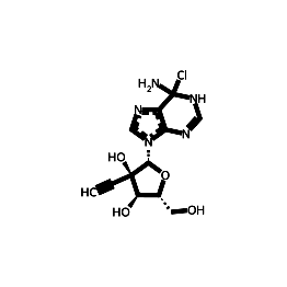 C#C[C@@]1(O)[C@H](O)[C@@H](CO)O[C@H]1n1cnc2c1N=CNC2(N)Cl